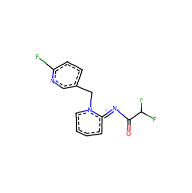 O=C(/N=c1\ccccn1Cc1ccc(F)nc1)C(F)F